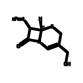 CCCCCC1C(=O)N2C=C(CO)CS[C@@H]12